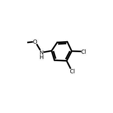 CONc1ccc(Cl)c(Cl)c1